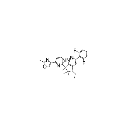 CCC1c2cc(-c3c(F)cccc3F)nnc2C(C)(c2nccc(-c3coc(C)n3)n2)C1(C)C